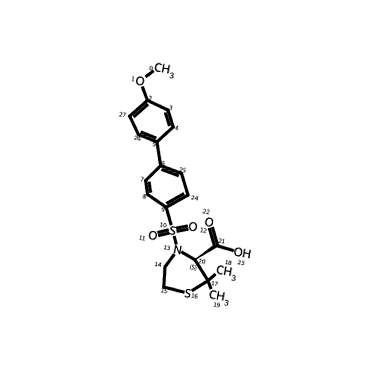 COc1ccc(-c2ccc(S(=O)(=O)N3CCSC(C)(C)[C@@H]3C(=O)O)cc2)cc1